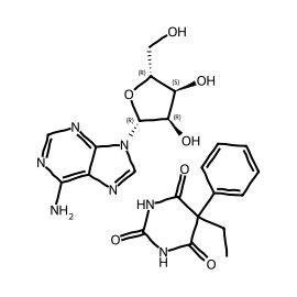 CCC1(c2ccccc2)C(=O)NC(=O)NC1=O.Nc1ncnc2c1ncn2[C@@H]1O[C@H](CO)[C@@H](O)[C@H]1O